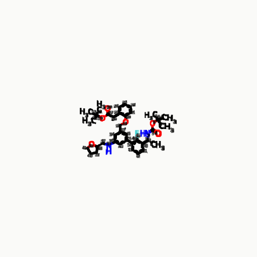 C[C@@H](NC(=O)OC(C)(C)C)c1cccc(-c2cc(COc3ccccc3CC(=O)OC(C)(C)C)cc(NC[C@H]3CCCO3)c2)c1F